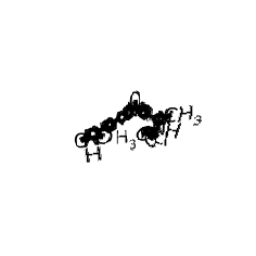 CN1C[C@H](Nc2ccn(C)c(=O)c2Cl)C[C@H](c2ccc(C(=O)N3CCC4(CCC(c5ccc(C6CCC(=O)NC6=O)cc5)CC4)CC3)cc2)C1